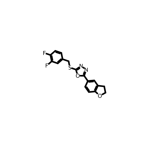 Fc1ccc(CSc2nnc(-c3ccc4c(c3)CCO4)o2)cc1F